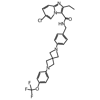 CCc1nc2ccc(Cl)cn2c1C(=O)NCc1ccc(N2CC3(C2)CN(c2ccc(OC(F)(F)F)cc2)C3)cc1